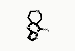 Nc1c2c(nc3ccnn13)CCNCC2